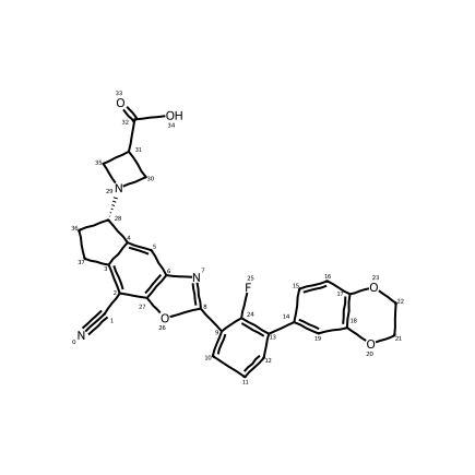 N#Cc1c2c(cc3nc(-c4cccc(-c5ccc6c(c5)OCCO6)c4F)oc13)[C@@H](N1CC(C(=O)O)C1)CC2